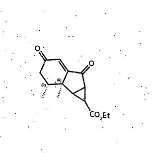 CCOC(=O)C1C2C(=O)C3=CC(=O)C[C@@H](C)[C@]3(C)C12